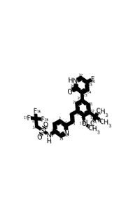 COc1c(/C=C/c2ccc(NS(=O)(=O)CC(F)(F)F)cn2)cc(-c2cc(F)c[nH]c2=O)cc1C(C)(C)C